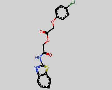 O=C(COC(=O)COc1ccc(Cl)cc1)Nc1nc2ccccc2s1